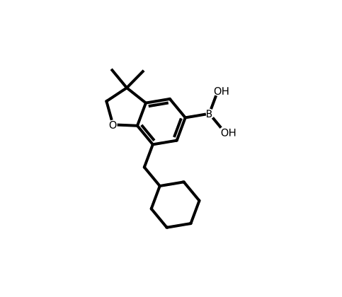 CC1(C)COc2c(CC3CCCCC3)cc(B(O)O)cc21